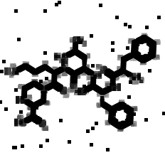 CC(C)C[C@@H](NC(O)[C@@H](Cc1ccccc1)NC(=O)[C@H](N)Cc1ccccc1)C(=O)N[C@H](CCCN)C(=O)N1CCNC(C(=O)O)C1